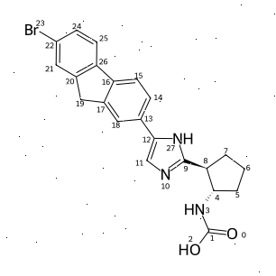 O=C(O)N[C@H]1CCC[C@@H]1c1ncc(-c2ccc3c(c2)Cc2cc(Br)ccc2-3)[nH]1